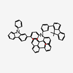 CC1(C)c2ccccc2-c2cccc(-c3cccc(N(c4ccc(-c5ccc6c7ccccc7n(-c7ccccc7)c6c5)cc4)c4ccccc4-c4cccc5cccc(-c6ccccc6)c45)c3)c21